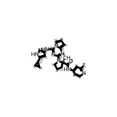 C[C@@]1(C(=O)Nc2ccnc(F)c2)CCCN1c1nc(Nc2cc(C3CC3)[nH]n2)n2cccc2n1